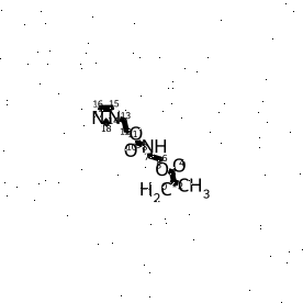 C=C(C)C(=O)OCCNC(=O)OCCn1ccnc1